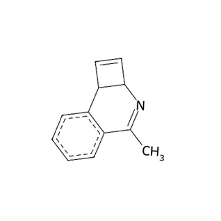 CC1=NC2C=CC2c2ccccc21